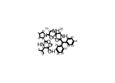 CC(C)[C@H](NC(=O)[C@H]1CCCN1C(=O)[C@H](C)NC(=O)[C@H](C)NC(=O)C(c1ccccc1)c1ccccc1)C(=O)O